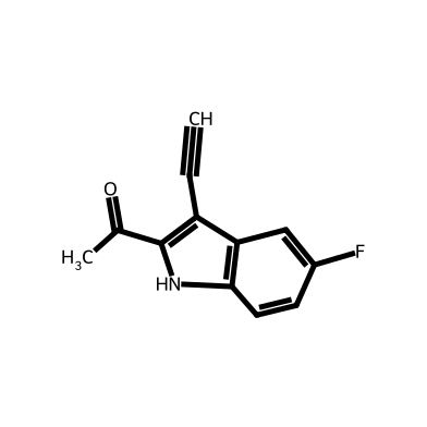 C#Cc1c(C(C)=O)[nH]c2ccc(F)cc12